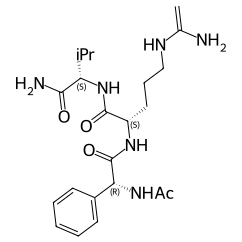 C=C(N)NCCC[C@H](NC(=O)[C@H](NC(C)=O)c1ccccc1)C(=O)N[C@H](C(N)=O)C(C)C